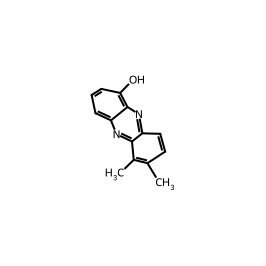 Cc1ccc2nc3c(O)cccc3nc2c1C